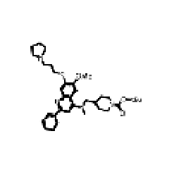 COc1cc2c(N(C)CC3CCN(C(=O)OC(C)(C)C)CC3)cc(-c3ccccc3)nc2cc1OCCCN1CCCC1